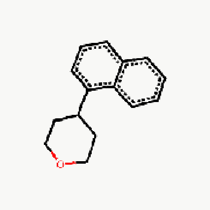 c1ccc2c(C3CCOCC3)cccc2c1